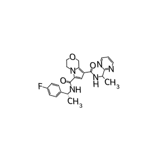 CC(NC(=O)c1cc(C(=O)N[C@H](C)c2ccc(F)cc2)n2c1COCC2)c1ncccn1